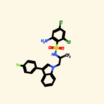 Nc1cc(Cl)cc(Cl)c1S(=O)(=O)NC(Cn1cc(-c2ccc(F)cc2)c2ccccc21)C(F)(F)F